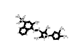 Cc1ccc(-n2nc(C)c(N=Nc3c(O)cc(S(=O)(=O)O)c4ccccc34)c2O)cc1C